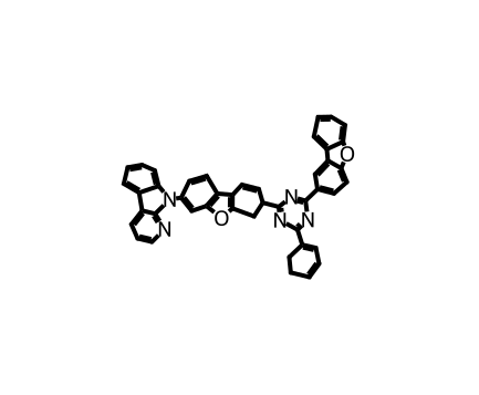 C1=CCCC(c2nc(-c3ccc4oc5ccccc5c4c3)nc(C3C=Cc4c(oc5cc(-n6c7ccccc7c7cccnc76)ccc45)C3)n2)=C1